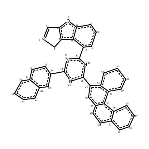 C1=NCc2c1oc1cccc(-c3nc(-c4ccc5ccccc5c4)nc(-c4cc5ccc6ccccc6c5c5ccccc45)n3)c21